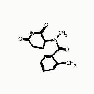 Cc1ccccc1C(=O)N(C)C1CCC(=O)NC1=O